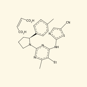 CCc1c(C)nc(N2CCC[C@H]2c2ccc(C)cc2)nc1Nc1ncc(C#N)s1.O=C(O)/C=C\C(=O)O